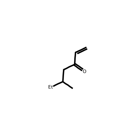 C=CC(=O)CC(C)CC